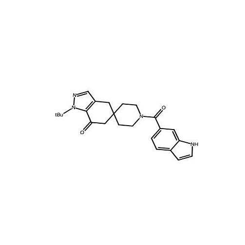 CC(C)(C)n1ncc2c1C(=O)CC1(CCN(C(=O)c3ccc4cc[nH]c4c3)CC1)C2